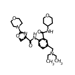 CCN(CC)Cc1ccc(NC(=O)c2coc(N3CCOCC3)n2)c(C(=O)NC2CCOCC2)c1